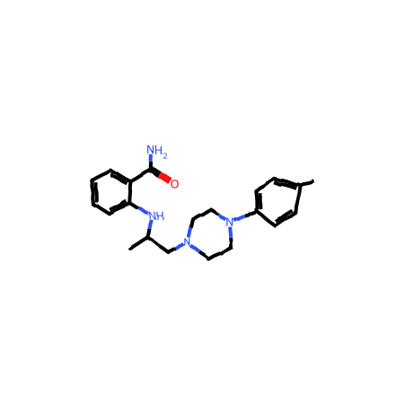 Cc1ccc(N2CCN(CC(C)Nc3ccccc3C(N)=O)CC2)cc1